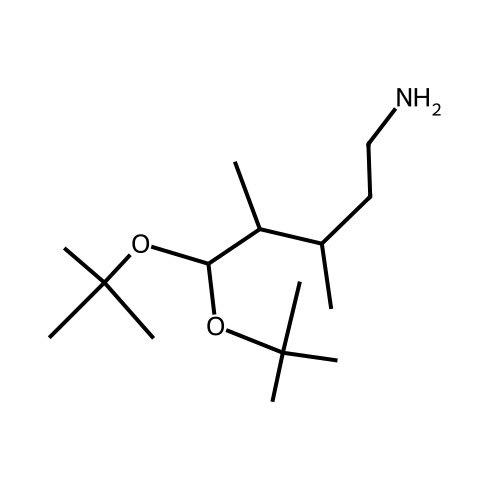 CC(CCN)C(C)C(OC(C)(C)C)OC(C)(C)C